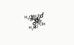 CC(N)C(=O)NCc1cc(OCc2ccc(F)cc2F)c(Br)c(=O)n1-c1cccc(C(N)=O)c1.Cl